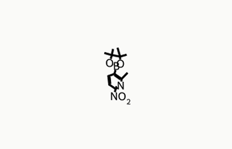 Cc1nc([N+](=O)[O-])ccc1B1OC(C)(C)C(C)(C)O1